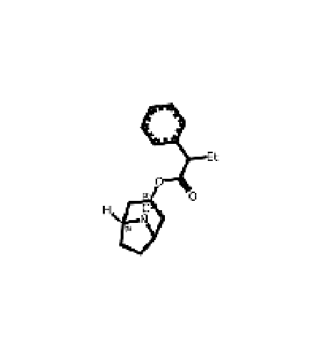 CCC(C(=O)O[C@H]1CC2CC[C@H](C1)N2C)c1ccccc1